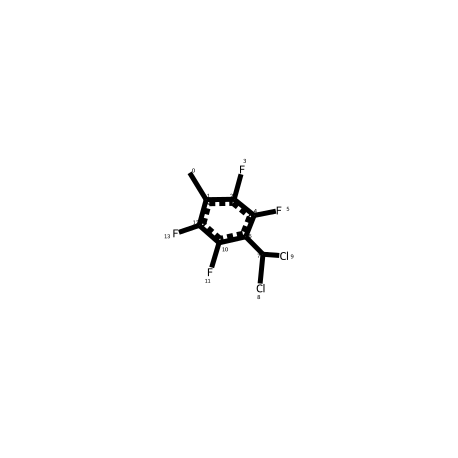 Cc1c(F)c(F)c(C(Cl)Cl)c(F)c1F